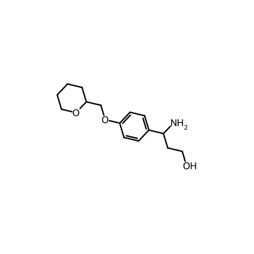 NC(CCO)c1ccc(OCC2CCCCO2)cc1